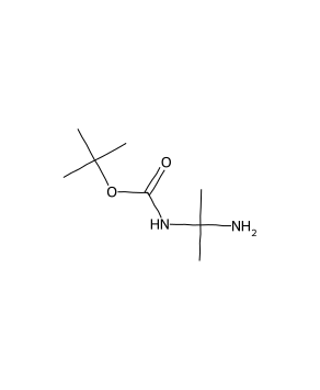 CC(C)(N)NC(=O)OC(C)(C)C